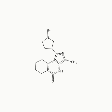 CC(C)N1CCC(c2nn(C)c3[nH]c(=O)c4c(c23)CCCC4)C1